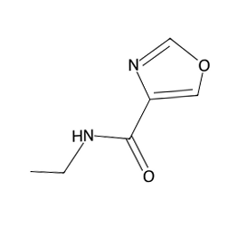 CCNC(=O)c1cocn1